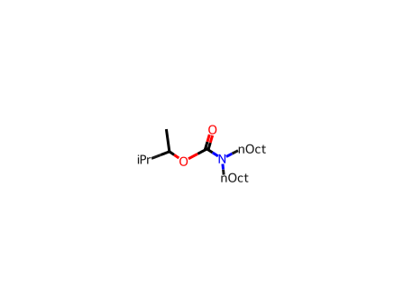 CCCCCCCCN(CCCCCCCC)C(=O)OC(C)C(C)C